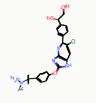 CC(=O)N(N)C(C)(C)c1ccc(Oc2nc3nc(-c4ccc([C@@H](O)CO)cc4)c(Cl)cc3[nH]2)cc1